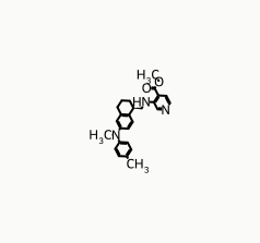 COC(=O)c1ccncc1NC[C@@H]1CCCc2cc(N(C)c3ccc(C)cc3)ccc21